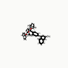 Cc1cc(CN2[C@@H]3CC[C@H]2CN(c2nc(OCC45CCCN4CCC5)nc4cc(-c5cc(O)cc6ccccc56)ccc24)C3)no1